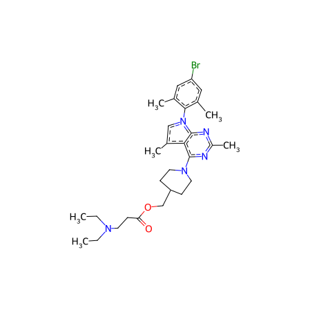 CCN(CC)CCC(=O)OCC1CCN(c2nc(C)nc3c2c(C)cn3-c2c(C)cc(Br)cc2C)CC1